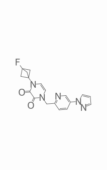 O=c1c(=O)n(C23CC(F)(C2)C3)ccn1Cc1ccc(-n2cccn2)cn1